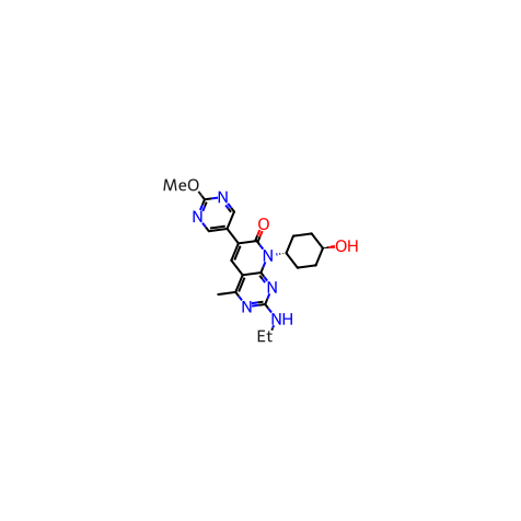 CCNc1nc(C)c2cc(-c3cnc(OC)nc3)c(=O)n([C@H]3CC[C@H](O)CC3)c2n1